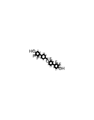 Oc1ccc(C2=CCC(COc3ccc(-c4ccc(O)c(F)c4F)cc3F)CC2)c(F)c1F